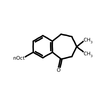 CCCCCCCCc1ccc2c(c1)C(=O)CC(C)(C)CC2